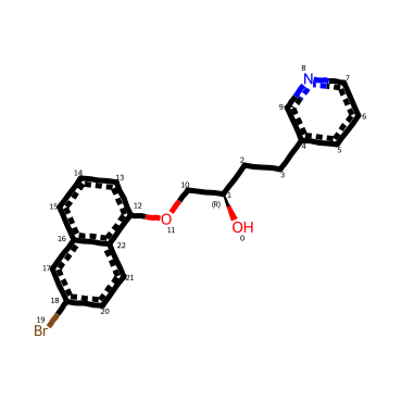 O[C@H](CCc1cccnc1)COc1cccc2cc(Br)ccc12